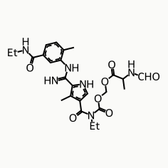 CCNC(=O)c1ccc(C)c(NC(=N)c2[nH]cc(C(=O)N(CC)C(=O)OCOC(=O)C(C)NC=O)c2C)c1